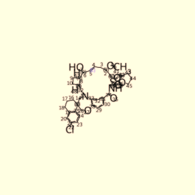 CO[C@@H]1C/C=C/[C@H](O)[C@@H]2CC[C@H]2CN2C[C@@]3(CCCc4cc(Cl)ccc43)COc3ccc(cc32)C(=O)NS(=O)(=O)[C@H]1C[C@@H]1CCCO1